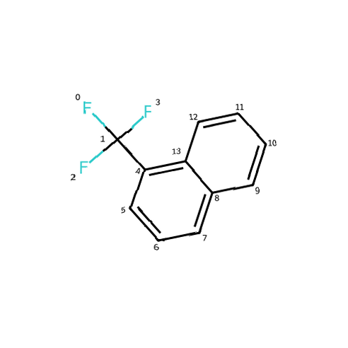 FC(F)(F)c1c[c]cc2ccccc12